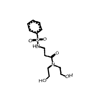 O=C(CCNS(=O)(=O)c1ccccc1)N(CCO)CCO